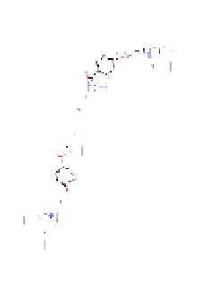 CCN(CC)CCOc1ccc(C(=O)NCCCCCCCNC(=O)c2ccc(OCCN(CC)CC)cc2)cc1